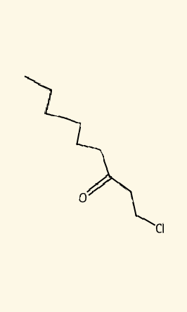 CCCCCCC(=O)CCCl